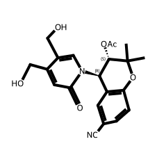 CC(=O)O[C@H]1[C@H](n2cc(CO)c(CO)cc2=O)c2cc(C#N)ccc2OC1(C)C